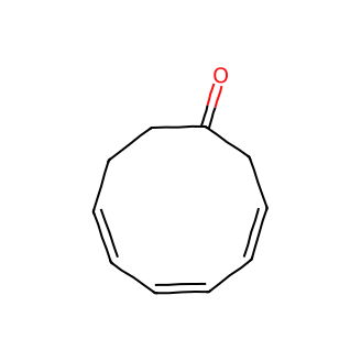 O=C1CC=CC=CC=CCC1